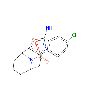 Nc1nc2c(s1)C1CCCC(C2)N1S(=O)(=O)c1ccc(Cl)cc1